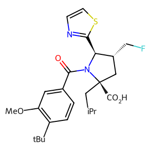 COc1cc(C(=O)N2[C@@H](c3nccs3)[C@H](CF)C[C@@]2(CC(C)C)C(=O)O)ccc1C(C)(C)C